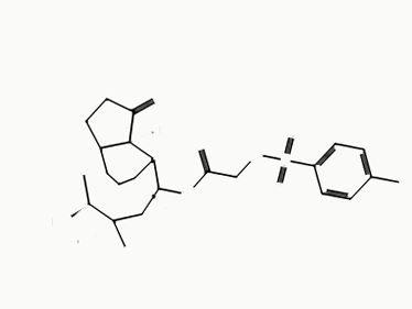 Cc1ccc(S(=O)(=O)OCC(=O)OC2C[C@](C)(C=O)[C@@H](O)C[C@]34CCC(=O)[C@H]3C2[C@H](C)CC4)cc1